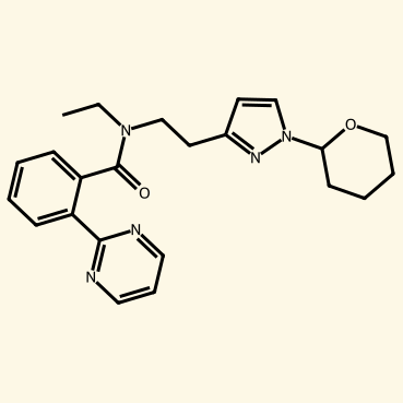 CCN(CCc1ccn(C2CCCCO2)n1)C(=O)c1ccccc1-c1ncccn1